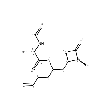 C=CCCC(CC1OC(=O)[C@H]1C)OC(=O)[C@H](C)NC=O